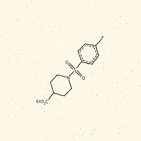 CCOC(=O)C1CCN(S(=O)(=O)c2ccc(F)cc2)CC1